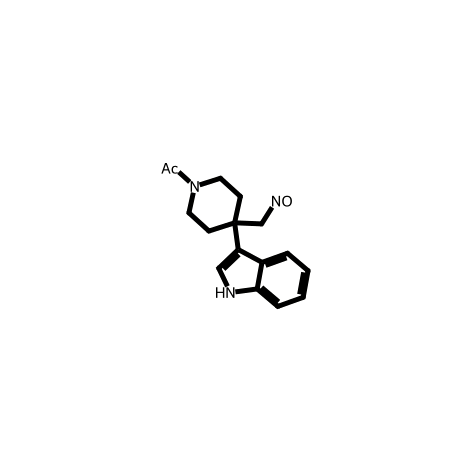 CC(=O)N1CCC(CN=O)(c2c[nH]c3ccccc23)CC1